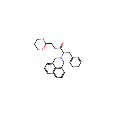 O=C(CCC1OCCCO1)[C@H](Cc1ccccc1)N(Cc1ccccc1)Cc1ccccc1